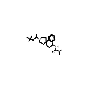 CC(CC(C)(C)C)N1CCC2(CC[C@H](NC(=O)N(C)C)c3ccccc32)CC1